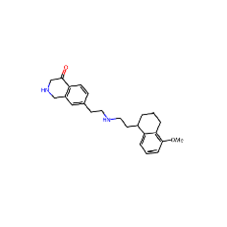 COc1cccc2c1CCCC2CCNCCc1ccc2c(c1)CNCC2=O